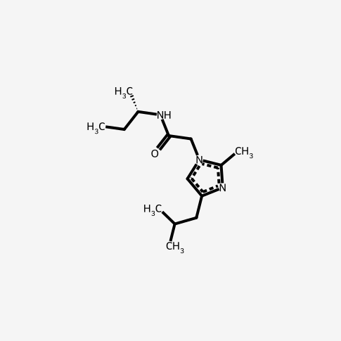 CC[C@H](C)NC(=O)Cn1cc(CC(C)C)nc1C